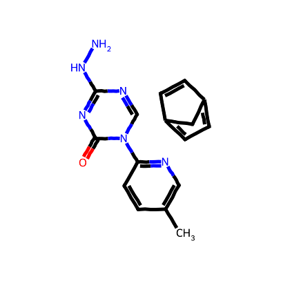 C1=CC2=CC=C1C2.Cc1ccc(-n2cnc(NN)nc2=O)nc1